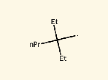 [CH2]C(CC)(CC)CCC